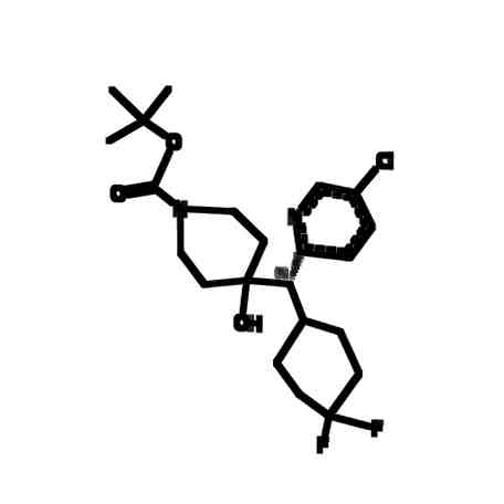 CC(C)(C)OC(=O)N1CCC(O)([C@H](c2ccc(Cl)cn2)C2CCC(F)(F)CC2)CC1